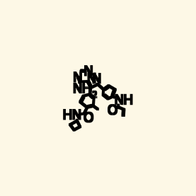 C=CC(=O)Nc1ccc(-c2nn3ncnc(N)c3c2-c2ccc(C(=O)NC3CCC3)c(C)c2)cc1